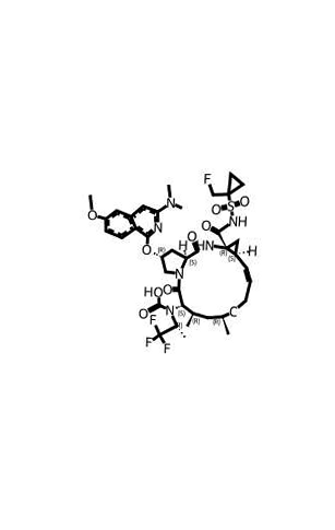 COc1ccc2c(O[C@@H]3C[C@H]4C(=O)N[C@]5(C(=O)NS(=O)(=O)C6(CF)CC6)C[C@H]5C=CCC[C@@H](C)C[C@@H](C)[C@H](N(C(=O)O)[C@H](C)C(F)(F)F)C(=O)N4C3)nc(N(C)C)cc2c1